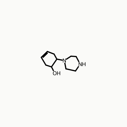 OC1CC=CCC1N1CCNCC1